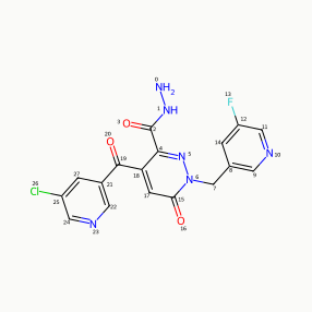 NNC(=O)c1nn(Cc2cncc(F)c2)c(=O)cc1C(=O)c1cncc(Cl)c1